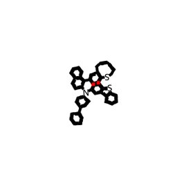 C1=C\CSc2ccc(-c3c(N(c4ccc(-c5ccccc5)cc4)c4ccc5sc6ccccc6c5c4)ccc4ccccc34)cc2C\C=C/1